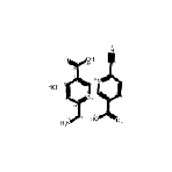 Cl.N#Cc1ccc(C(=O)O)cn1.NCc1ccc(C(=O)O)cn1